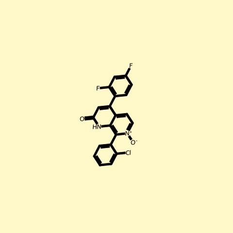 O=c1cc(-c2ccc(F)cc2F)c2cc[n+]([O-])c(-c3ccccc3Cl)c2[nH]1